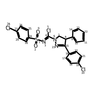 O=S(=O)(/N=C(\Cl)N1CC(c2ccccc2)C(c2ccc(Cl)cc2)=N1)c1ccc(Cl)cc1